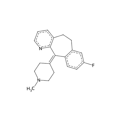 CN1CCC(=C2c3ccc(F)cc3CCc3cccnc32)CC1